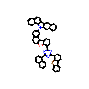 c1ccc2cc3c(cc2c1)c1ccc2ccccc2c1n3-c1ccc2ccc3oc4c(-c5nc(-c6cccc7ccccc67)nc(-c6cccc7c6sc6ccccc67)n5)cccc4c3c2c1